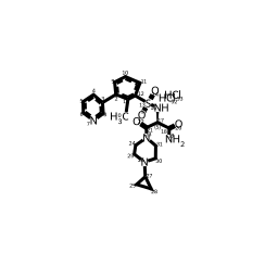 Cc1c(-c2cccnc2)cccc1S(=O)(=O)N[C@@H](C(N)=O)C(=O)N1CCN(C2CC2)CC1.Cl.Cl